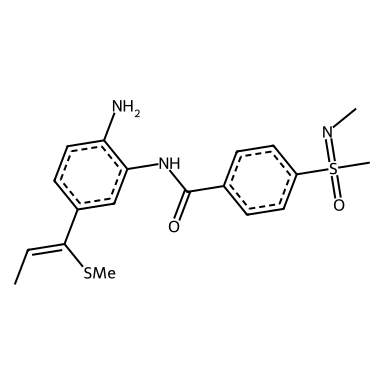 C/C=C(\SC)c1ccc(N)c(NC(=O)c2ccc(S(C)(=O)=NC)cc2)c1